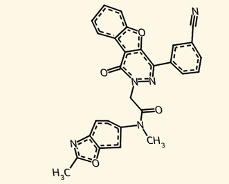 Cc1nc2ccc(N(C)C(=O)Cn3nc(-c4cccc(C#N)c4)c4oc5ccccc5c4c3=O)cc2o1